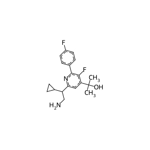 CC(C)(O)c1cc(C(CN)C2CC2)nc(-c2ccc(F)cc2)c1F